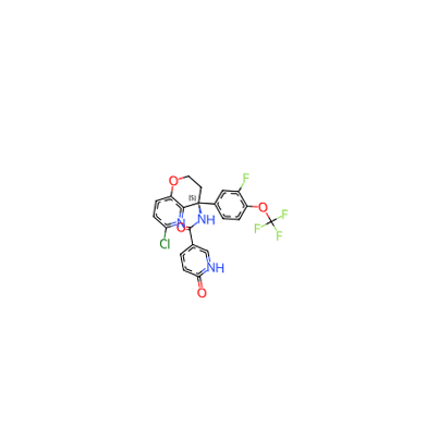 O=C(N[C@]1(c2ccc(OC(F)(F)F)c(F)c2)CCOc2ccc(Cl)nc21)c1ccc(=O)[nH]c1